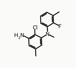 Cc1cc(N)c(Cl)c(N(C)c2cccc(C)c2F)c1